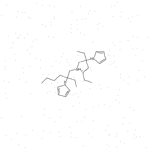 CCCCC(CC)(C[SiH2]CC(CC)(CCCC)[SH]1C=CC=C1)[SH]1C=CC=C1